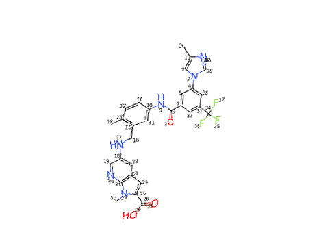 Cc1cn(-c2cc(C(=O)Nc3ccc(C)c(CNc4cnc5c(c4)cc(C(=O)O)n5C)c3)cc(C(F)(F)F)c2)cn1